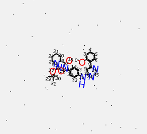 COc1ccccc1-c1cc(Nc2ccc(NC(=O)[C@@H]3CCCCN3C(=O)OC(C)(C)C)cc2)ncn1